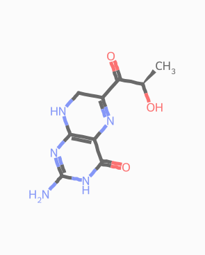 C[C@@H](O)C(=O)C1=Nc2c(nc(N)[nH]c2=O)NC1